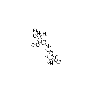 CCN(C)C(=O)c1cc(OC2CCC2)c2cc(N3CCC4(CC3)CC(Cc3c(-c5ccccc5C(F)(F)F)noc3C3CC3)C4)ccc2n1